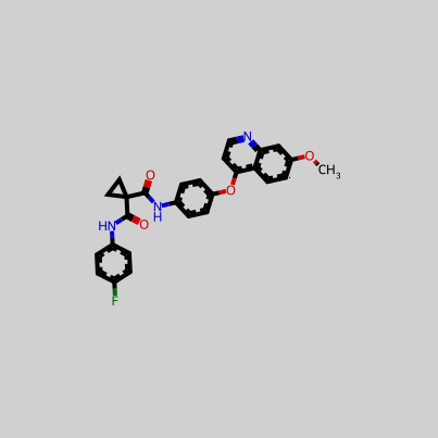 COc1[c]cc2c(Oc3ccc(NC(=O)C4(C(=O)Nc5ccc(F)cc5)CC4)cc3)ccnc2c1